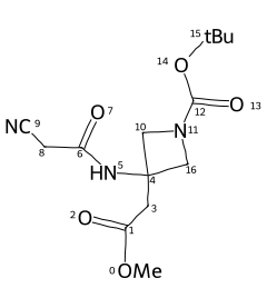 COC(=O)CC1(NC(=O)CC#N)CN(C(=O)OC(C)(C)C)C1